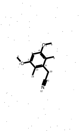 COc1cc(OC)c(C)c(CC#N)c1C